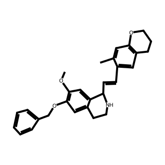 COc1cc2c(cc1OCc1ccccc1)CCNC2C=Cc1cc2c(cc1C)OCCC2